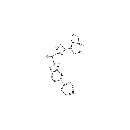 O=C(c1nnc(N(CC(F)(F)F)[C@H]2CCNC2=O)o1)c1nc2ccc(-c3ccccc3)cc2s1